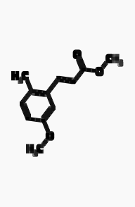 COC(=O)/C=C/c1cc(OC)ccc1C